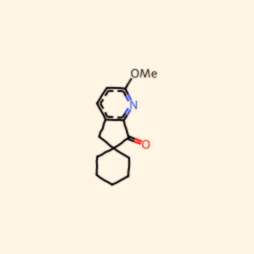 COc1ccc2c(n1)C(=O)C1(CCCCC1)C2